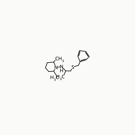 CC(CSCc1ccccc1)NN1C(C)CCCC1C